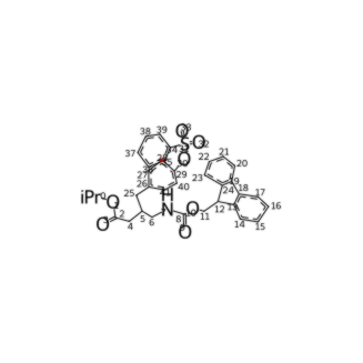 CC(C)OC(=O)CC(CNC(=O)OCC1c2ccccc2-c2ccccc21)Cc1ccc(OS(=O)(=O)c2ccccc2)cc1